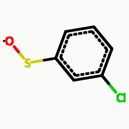 [O]Sc1cccc(Cl)c1